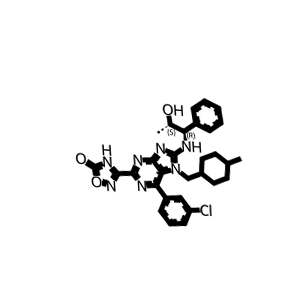 CC1CCC(Cn2c(N[C@H](c3ccccc3)[C@H](C)O)nc3nc(-c4noc(=O)[nH]4)nc(-c4cccc(Cl)c4)c32)CC1